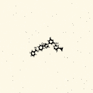 Cc1cc(Nc2ncc(F)c(C3CC3)n2)cc(-n2cnc([C@]3(O)CC[C@H](OC(=O)c4ccccc4)CC3)c2)c1